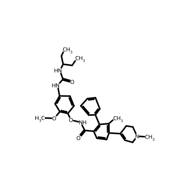 CCC(CC)NC(=O)Nc1ccc(ONC(=O)c2ccc(C3=CCN(C)CC3)c(C)c2-c2ccccc2)c(OC)c1